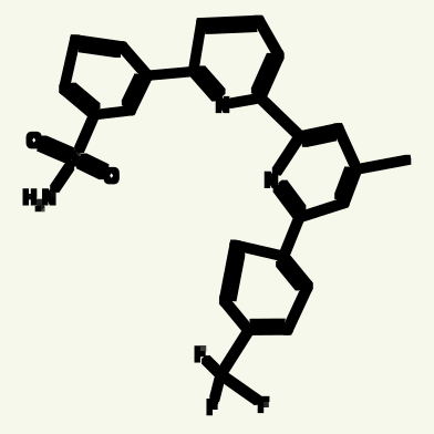 Cc1cc(-c2ccc(C(F)(F)F)cc2)nc(-c2cccc(-c3cccc(S(N)(=O)=O)c3)n2)c1